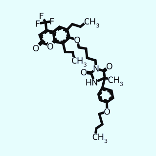 CCCCOc1ccc(C2(C)NC(=O)N(CCCCOc3c(CCC)cc4c(C(F)(F)F)cc(=O)oc4c3CCC)C2=O)cc1